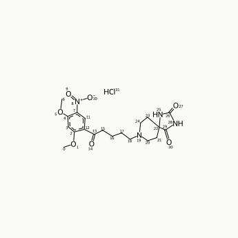 COc1cc(OC)c([N+](=O)[O-])cc1C(=O)CCCCN1CCC2(CC1)NC(=O)NC2=O.Cl